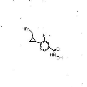 CC(C)CC1CC1c1ncc(C(=O)NO)cc1F